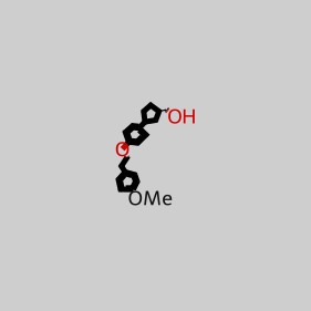 COc1ccc(CCOc2ccc(C3CC[C@H](CO)C3)cc2)cc1